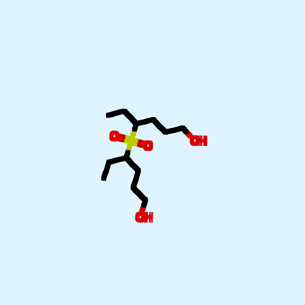 CCC(CCCO)S(=O)(=O)C(CC)CCCO